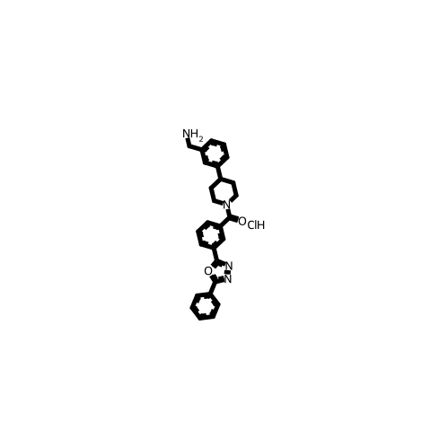 Cl.NCc1cccc(C2CCN(C(=O)c3cccc(-c4nnc(-c5ccccc5)o4)c3)CC2)c1